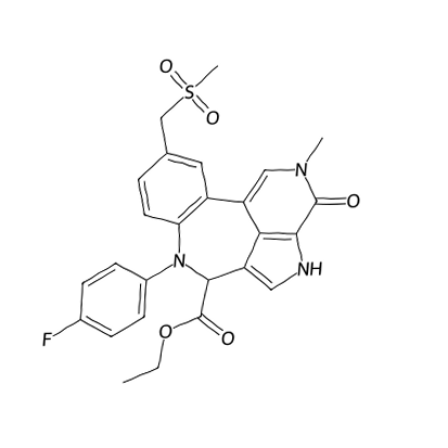 CCOC(=O)C1c2c[nH]c3c(=O)n(C)cc(c23)-c2cc(CS(C)(=O)=O)ccc2N1c1ccc(F)cc1